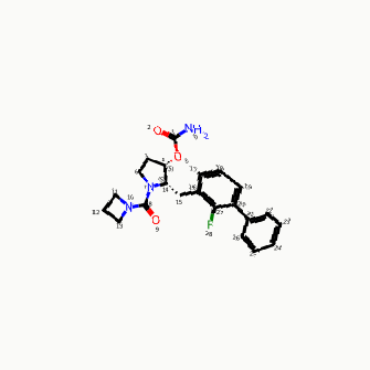 NC(=O)O[C@H]1CCN(C(=O)N2CCC2)[C@H]1Cc1cccc(-c2ccccc2)c1F